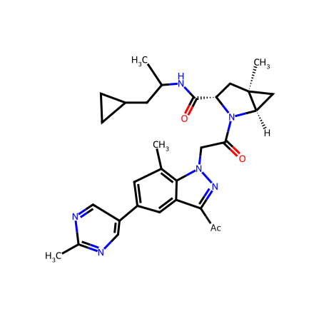 CC(=O)c1nn(CC(=O)N2[C@H](C(=O)NC(C)CC3CC3)C[C@@]3(C)C[C@@H]23)c2c(C)cc(-c3cnc(C)nc3)cc12